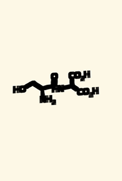 N[C@@H](CO)C(=O)NC(C(=O)O)C(=O)O